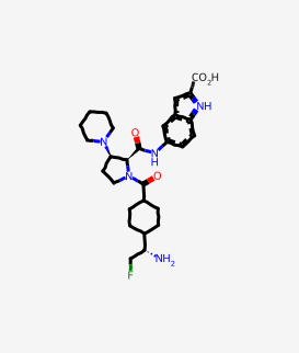 N[C@H](CF)C1CCC(C(=O)N2CC[C@@H](N3CCCCC3)[C@H]2C(=O)Nc2ccc3[nH]c(C(=O)O)cc3c2)CC1